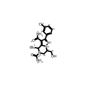 CC(C)(C)C1c2c(C(N)=O)c(-c3cccc(Cl)c3)nn2C(CO)CN1C(N)=O